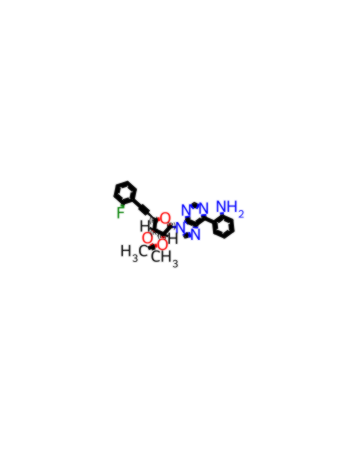 CC1(C)O[C@@H]2[C@H](O1)[C@@H](C#Cc1ccccc1F)O[C@H]2n1cnc2c(-c3ccccc3N)ncnc21